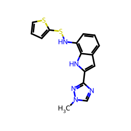 Cn1cnc(-c2cc3cccc(NSc4cccs4)c3[nH]2)n1